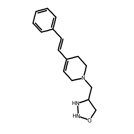 C(=Cc1ccccc1)C1=CCN(CC2CONN2)CC1